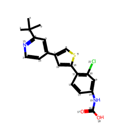 CC(C)(C)c1cc(-c2csc(-c3ccc(NC(=O)O)cc3Cl)c2)ccn1